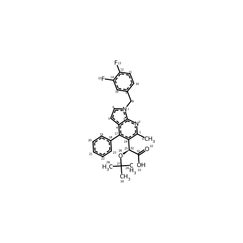 Cc1nc2c(ccn2Cc2ccc(F)c(F)c2)c(-c2ccccc2)c1[C@H](OC(C)(C)C)C(=O)O